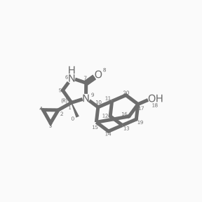 C[C@@]1(C2CC2)CNC(=O)N1C1C2CC3CC1CC(O)(C3)C2